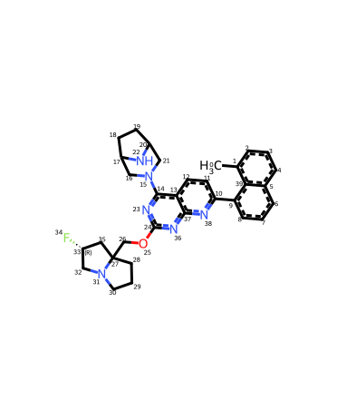 Cc1cccc2cccc(-c3ccc4c(N5CC6CCC(C5)N6)nc(OCC56CCCN5C[C@H](F)C6)nc4n3)c12